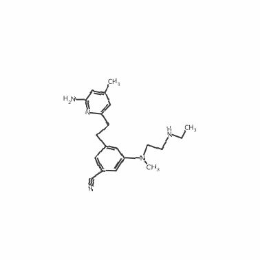 CCNCCN(C)c1cc(C#N)cc(CCc2cc(C)cc(N)n2)c1